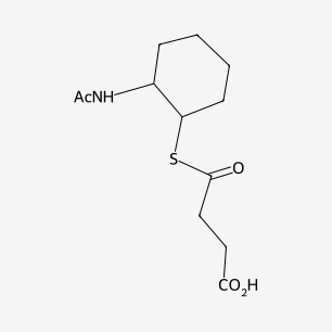 CC(=O)NC1CCCCC1SC(=O)CCC(=O)O